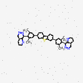 Cc1cc(-c2ccc3c(c2)sc2cc(-c4cc(C)c(-c5nncc6cccnc56)c(C)c4)ccc23)cc(C)c1-c1nncc2cccnc12